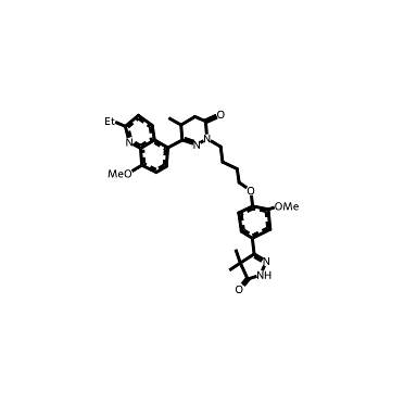 CCc1ccc2c(C3=NN(CCCCOc4ccc(C5=NNC(=O)C5(C)C)cc4OC)C(=O)CC3C)ccc(OC)c2n1